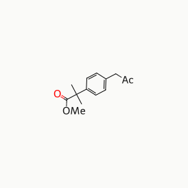 COC(=O)C(C)(C)c1ccc(CC(C)=O)cc1